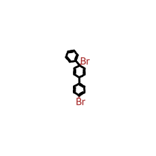 Brc1ccc(C2C=CC(Br)(c3ccccc3)C=C2)cc1